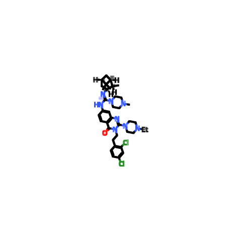 CCN1CCN(c2nc3cc(N/C(=N/[C@H]4C[C@@H]5C[C@H]([C@@H]4C)C5(C)C)N4CCN(C)CC4)ccc3c(=O)n2CCc2ccc(Cl)cc2Cl)CC1